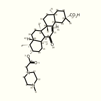 C[C@H]1[C@@H](OC(=O)CN2CCN(C)CC2)CC[C@]2(C)C3C(=O)C=C4[C@@H]5C[C@@](C)(C(=O)O)CC[C@]5(C)CC[C@@]4(C)[C@]3(C)CC[C@@H]12